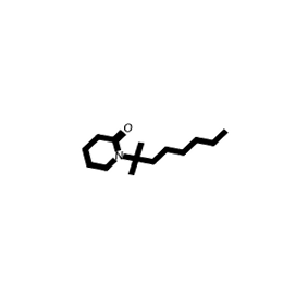 CCCCCCC(C)(C)N1CCCCC1=O